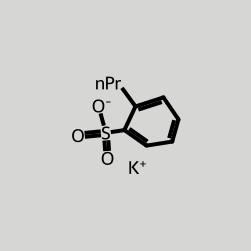 CCCc1ccccc1S(=O)(=O)[O-].[K+]